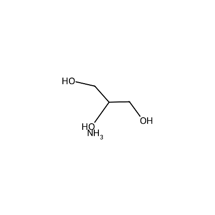 N.OCC(O)CO